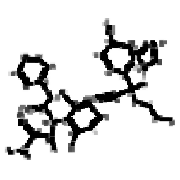 CCCCC(C#N)(Cn1cncn1)c1ccc(Cl)cc1.COC(=O)C(C)N(C(=O)Cc1ccccc1)c1c(C)cccc1C